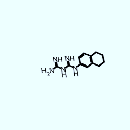 N=C(N)NC(=N)Nc1ccc2c(c1)CCCC2